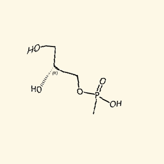 CP(=O)(O)OC[C@H](O)CO